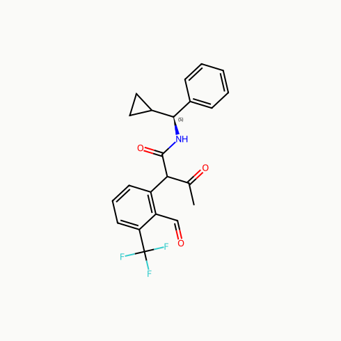 CC(=O)C(C(=O)N[C@H](c1ccccc1)C1CC1)c1cccc(C(F)(F)F)c1C=O